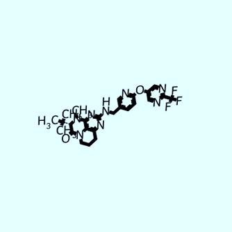 CN1c2nc(NCc3ccc(Oc4cnc(C(F)(F)F)nc4)nc3)nc3c2N(CCC3)C(=O)[C@@H]1C(C)(C)C